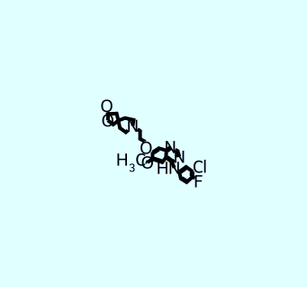 COc1cc2c(Nc3ccc(F)c(Cl)c3)ncnc2cc1OCCCN1CCC2(CC1)COC(=O)C2